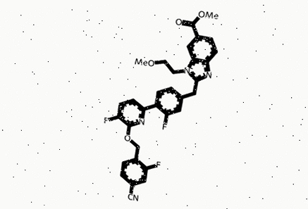 COCCn1c(Cc2ccc(-c3ccc(F)c(OCc4ccc(C#N)cc4F)n3)c(F)c2)nc2ccc(C(=O)OC)cc21